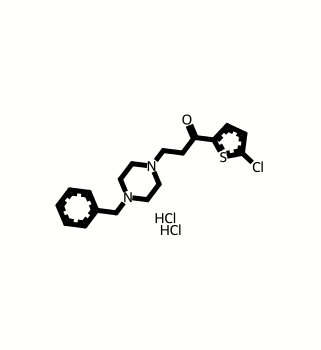 Cl.Cl.O=C(CCN1CCN(Cc2ccccc2)CC1)c1ccc(Cl)s1